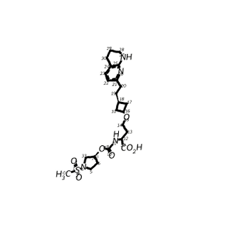 CS(=O)(=O)N1CC[C@H](OC(=O)NC(CCO[C@H]2C[C@H](CCc3ccc4c(n3)NCCC4)C2)C(=O)O)C1